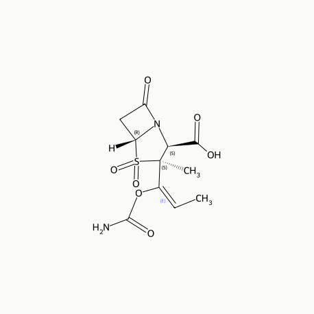 C/C=C(/OC(N)=O)[C@]1(C)[C@H](C(=O)O)N2C(=O)C[C@H]2S1(=O)=O